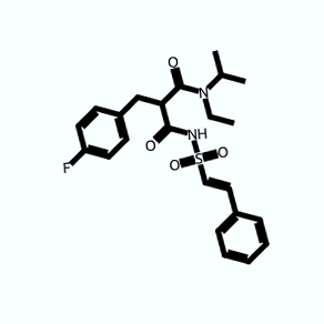 CCN(C(=O)C(Cc1ccc(F)cc1)C(=O)NS(=O)(=O)/C=C/c1ccccc1)C(C)C